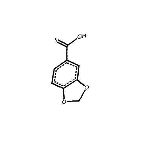 OC(=S)c1ccc2c(c1)OCO2